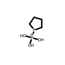 O[PH](O)(O)P1CCCC1